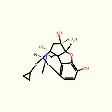 C[N+]1(CC2CC2)CC[C@]23c4c5ccc(O)c4O[C@H]2[C@@](O)(C(=O)O)C[C@]3(O)[C@H]1C5